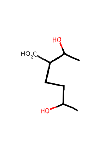 CC(O)CCC(C(=O)O)C(C)O